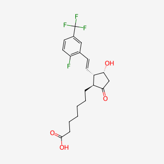 O=C(O)CCCCCC[C@@H]1C(=O)C[C@@H](O)[C@H]1C=Cc1cc(C(F)(F)F)ccc1F